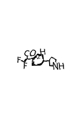 O=C(O)C(=C(F)F)c1ccc(C2CCNC2)cc1